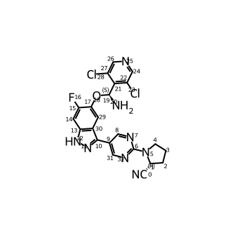 N#C[C@H]1CCCN1c1ncc(-c2n[nH]c3cc(F)c(O[C@H](N)c4c(Cl)cncc4Cl)cc23)cn1